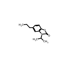 CCCc1ccc2oc(=O)n(C(C)C)c2c1